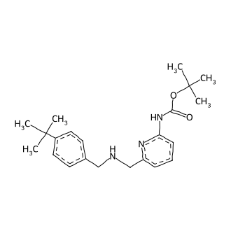 CC(C)(C)OC(=O)Nc1cccc(CNCc2ccc(C(C)(C)C)cc2)n1